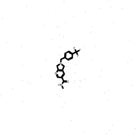 CNC(=O)c1cnc2c(c1)CN(Cc1ccc(C(F)(F)F)cc1)C2